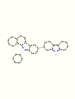 Cn1c2ccccc2c2ccc(-c3ccc4c(c3)c3ccc5ccccc5c3n4-c3ccccc3)cc21